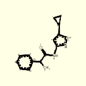 CC(C(=O)Nc1cc(C2CC2)[nH]n1)c1cc[c]cc1